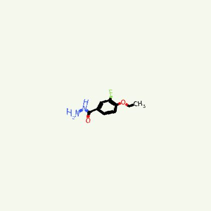 CCOc1ccc(C(=O)NN)cc1F